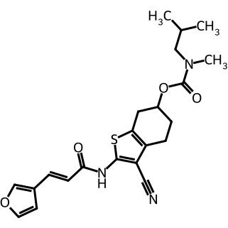 CC(C)CN(C)C(=O)OC1CCc2c(sc(NC(=O)C=Cc3ccoc3)c2C#N)C1